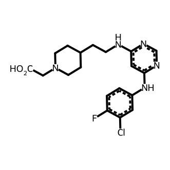 O=C(O)CN1CCC(CCNc2cc(Nc3ccc(F)c(Cl)c3)ncn2)CC1